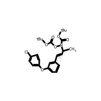 CC(/C=C/c1cccc(Oc2ccc(Cl)cc2)c1)N(OC(=O)OC(C)(C)C)C(=O)OC(C)(C)C